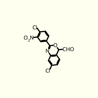 O=CC1OC(c2ccc(Cl)c([N+](=O)[O-])c2)=Nc2cc(Cl)ccc21